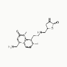 Cn1c(=O)cc(CN)c2ccc(F)c(CCNCC3CNC(=O)O3)c21